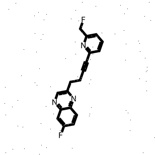 FCc1cccc(C#CCCc2cnc3cc(F)ccc3n2)n1